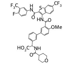 COc1ccc(-c2cccc(C(NC(=O)C3CCOCC3)C(=O)O)c2)cc1C(=O)Nc1c(C(=O)Nc2ccc(F)c(C(F)(F)F)c2)sc2cc(C(F)(F)F)ccc12